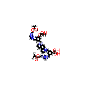 C=C(C)C(=O)OCCn1cc[n+](Cc2cc(C[n+]3cccc4c5ccc[n+](Cc6cc(C[n+]7ccn(CCOC(=O)C(=C)C)c7)cc(B(O)O)c6)c5ccc43)cc(OBO)c2)c1